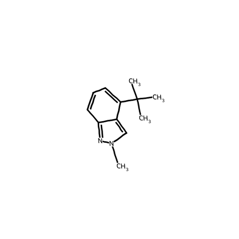 Cn1cc2c(C(C)(C)C)cccc2n1